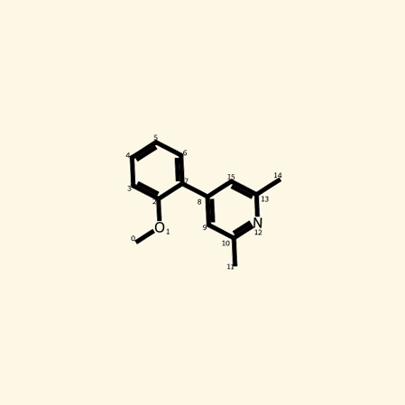 COc1ccccc1-c1cc(C)nc(C)c1